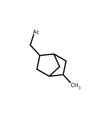 CC(=O)CC1CC2CC1CC2C